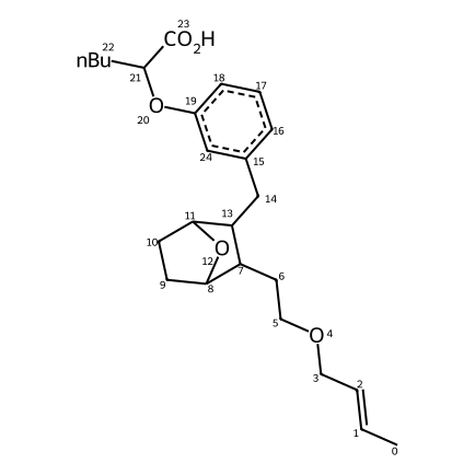 C/C=C/COCCC1C2CCC(O2)C1Cc1cccc(OC(CCCC)C(=O)O)c1